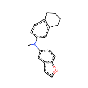 CN(c1ccc2c(c1)CCCC2)c1ccc2occc2c1